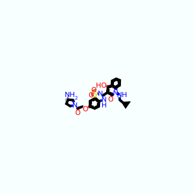 N[C@H]1CCN(C(=O)COc2ccc3c(c2)S(=O)(=O)N=C(c2c(O)c4ccccc4n(NCC4CC4)c2=O)N3)C1